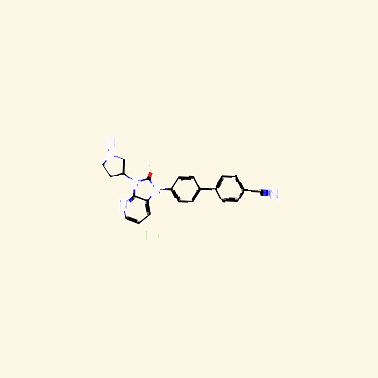 Cl.N#Cc1ccc(-c2ccc(-n3c(=O)n(C4CCNC4)c4ncccc43)cc2)cc1